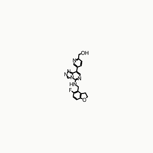 OCc1ccc(-c2cnc(NCc3c(F)ccc4c3CCO4)n3cnnc23)cn1